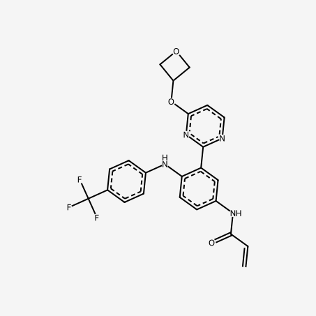 C=CC(=O)Nc1ccc(Nc2ccc(C(F)(F)F)cc2)c(-c2nccc(OC3COC3)n2)c1